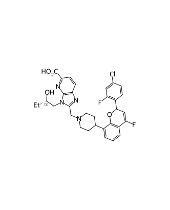 CC[C@H](O)Cn1c(CN2CCC(c3cccc4c3OC(c3ccc(Cl)cc3F)C=C4F)CC2)nc2ccc(C(=O)O)nc21